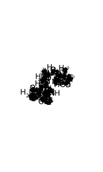 CC(C)C[C@H](NC(=O)[C@H](Cc1c[nH]cn1)N(C)C(=O)CNC(=O)[C@@H](NC(=O)[C@H](C)NC(=O)[C@H](Cc1c[nH]c2ccccc12)NC(=O)[C@H](CCC(N)=O)NC(=O)[C@@H](Cc1ccccc1)NC(=O)[C@@H]1CCCCN1)C(C)(C)C)C(=O)N1CSC[C@H]1C(=O)NO